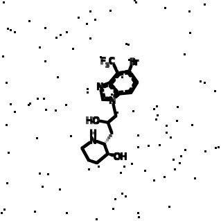 OC(C[C@H]1NCCC[C@@H]1O)Cn1cnc2c(C(F)(F)F)c(Br)ccc21